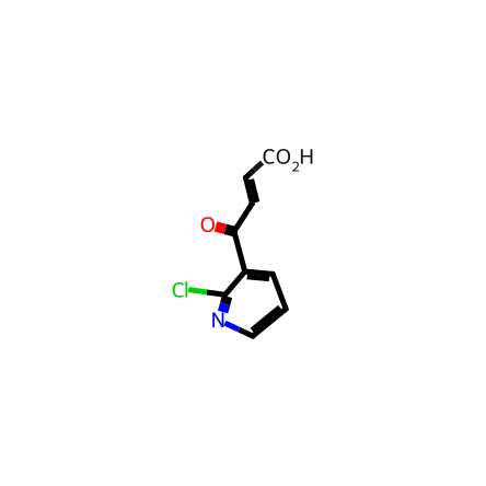 O=C(O)C=CC(=O)c1cccnc1Cl